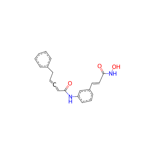 O=C(C=C=CCc1ccccc1)Nc1cccc(/C=C/C(=O)NO)c1